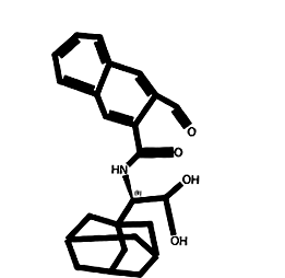 O=Cc1cc2ccccc2cc1C(=O)N[C@@H](C(O)O)C12CC3CC(CC(C3)C1)C2